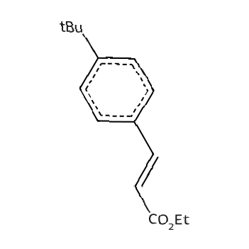 CCOC(=O)C=Cc1ccc(C(C)(C)C)cc1